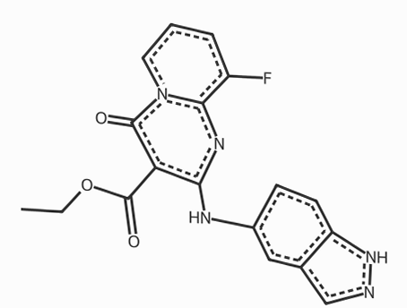 CCOC(=O)c1c(Nc2ccc3[nH]ncc3c2)nc2c(F)cccn2c1=O